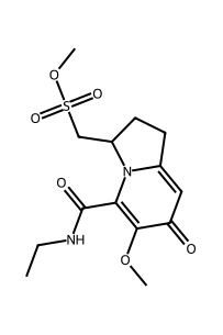 CCNC(=O)c1c(OC)c(=O)cc2n1C(CS(=O)(=O)OC)CC2